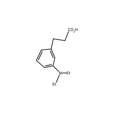 CCN(CC)c1cccc(CCC(=O)O)c1